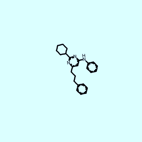 c1ccc(CCCc2cc(Nc3ccccc3)nc(C3CCCCC3)n2)cc1